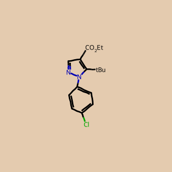 CCOC(=O)c1cnn(-c2ccc(Cl)cc2)c1C(C)(C)C